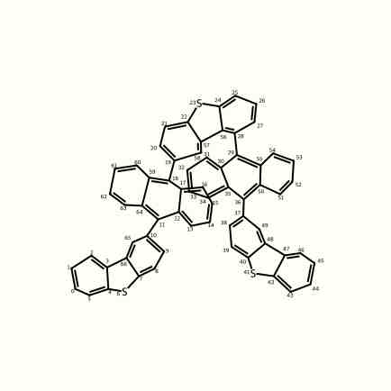 c1ccc2c(c1)sc1ccc(-c3c4ccccc4c(-c4ccc5sc6cccc(-c7c8ccccc8c(-c8ccc9sc%10ccccc%10c9c8)c8ccccc78)c6c5c4)c4ccccc34)cc12